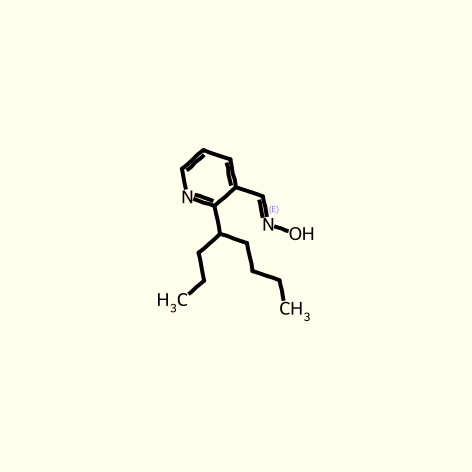 CCCCC(CCC)c1ncccc1/C=N/O